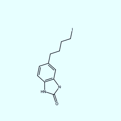 O=C1[N]c2cc(CCCCI)ccc2N1